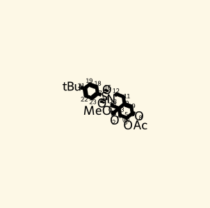 COC(=O)C12C[C@@H](OC(C)=O)C(=O)C=C1CCN(S(=O)(=O)c1ccc(C(C)(C)C)cc1)C2